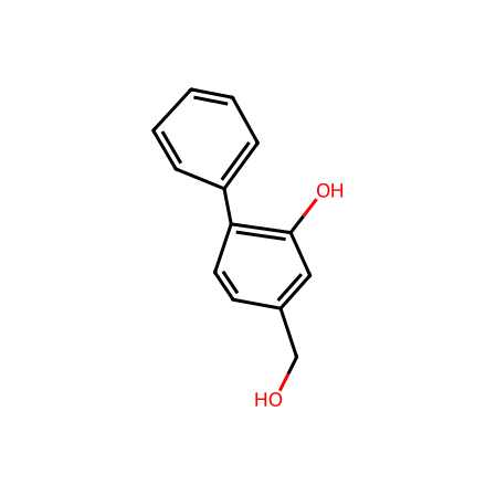 OCc1ccc(-c2ccccc2)c(O)c1